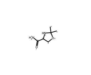 CC1(C)NC(C(N)=O)CO1